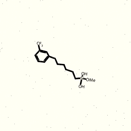 CO[Si](O)(O)CCCCCCc1cccc(C(F)(F)F)c1